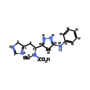 CC(C)(C)N(C(=O)O)C(CC1=NC=NC1)c1nnc(Nc2ccccc2)[se]1